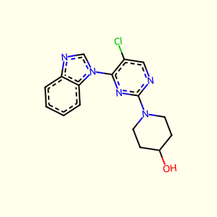 OC1CCN(c2ncc(Cl)c(-n3cnc4ccccc43)n2)CC1